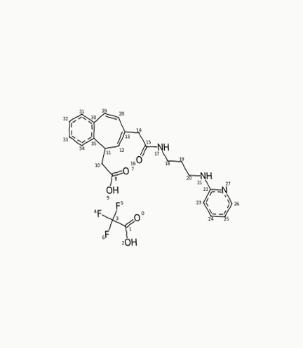 O=C(O)C(F)(F)F.O=C(O)CC1C=C(CC(=O)NCCCNc2ccccn2)C=Cc2ccccc21